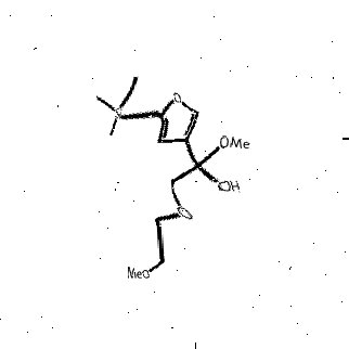 COCCOCC(O)(OC)c1coc([Si](C)(C)C)c1